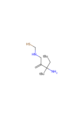 C=C(CNCS)C(N)(CC(C)(C)C)C(C)(C)C